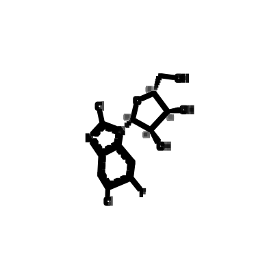 OC[C@H]1O[C@@H](n2c(Cl)nc3cc(Cl)c(F)cc32)[C@H](O)[C@@H]1O